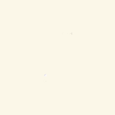 O=C(O)CCCCCCCCCCCCCCCCCCCC/C=C/C1COC1